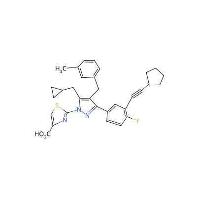 Cc1cccc(Cc2c(-c3ccc(F)c(C#CC4CCCC4)c3)nn(-c3nc(C(=O)O)cs3)c2CC2CC2)c1